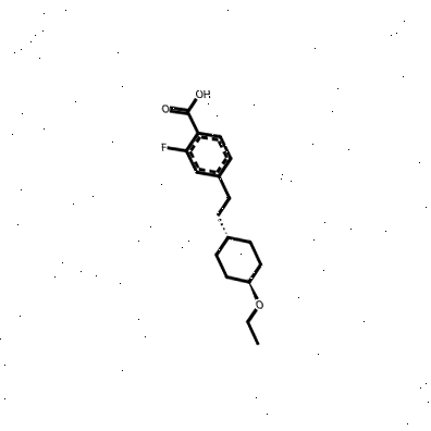 CCO[C@H]1CC[C@H](CCc2ccc(C(=O)O)c(F)c2)CC1